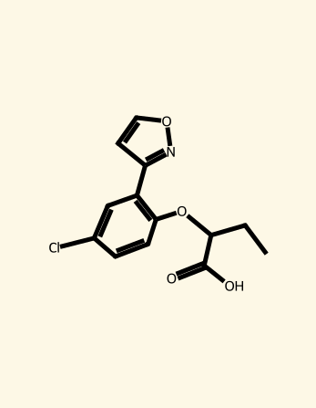 CCC(Oc1ccc(Cl)cc1-c1ccon1)C(=O)O